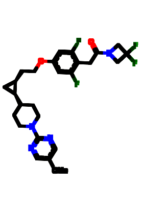 COc1cnc(N2CCC([C@H]3C[C@H]3CCOc3cc(F)c(CC(=O)N4CC(F)(F)C4)c(F)c3)CC2)nc1